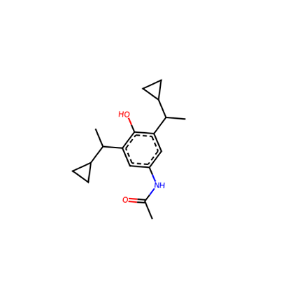 CC(=O)Nc1cc(C(C)C2CC2)c(O)c(C(C)C2CC2)c1